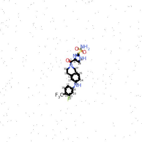 NS(=O)(=O)c1nc(C(=O)N2CCc3cc(Nc4ccc(C(F)(F)F)c(F)c4)ccc3C2)c[nH]1